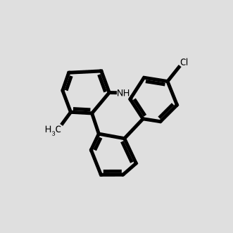 Cc1cccc(N)c1-c1ccccc1-c1ccc(Cl)cc1